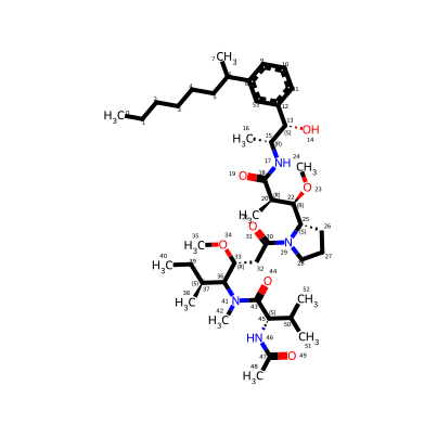 CCCCCCC(C)c1cccc([C@H](O)[C@@H](C)NC(=O)[C@H](C)[C@@H](OC)[C@@H]2CCCN2C(=O)C[C@@H](OC)C([C@@H](C)CC)N(C)C(=O)[C@@H](NC(C)=O)C(C)C)c1